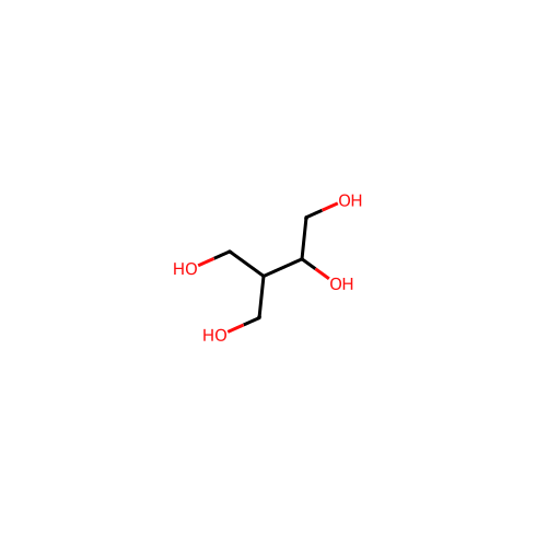 OCC(O)C(CO)CO